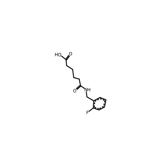 O=C(O)CCCCC(=O)NCc1ccccc1F